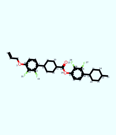 C=CCOc1ccc(C2CCC(C(=O)Oc3ccc(C4CCC(C)CC4)c(F)c3F)CC2)c(F)c1F